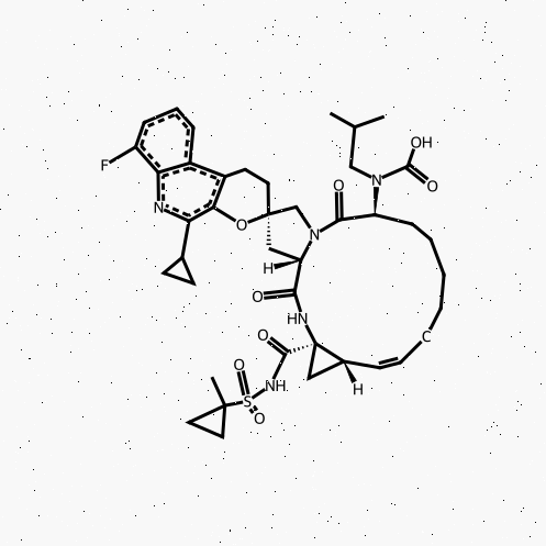 CC(C)CN(C(=O)O)[C@H]1CCCCC/C=C\[C@@H]2C[C@@]2(C(=O)NS(=O)(=O)C2(C)CC2)NC(=O)[C@@H]2C[C@]3(CCc4c(c(C5CC5)nc5c(F)cccc45)O3)CN2C1=O